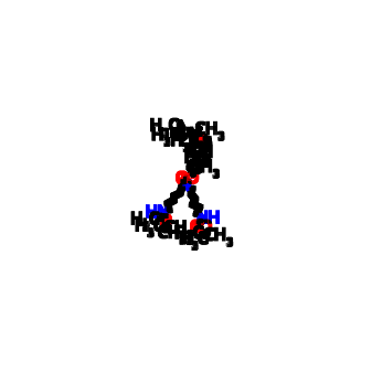 C=C(NCCCCCCN(CCCCCCNC(=O)OC(C)(C)C)C(=O)O[C@H]1CC[C@@]2(C)C(=CC[C@H]3[C@@H]4CC[C@H]([C@H](C)CC[C@@H](CC)C(C)C)[C@@]4(C)CC[C@@H]32)C1)OC(C)(C)C